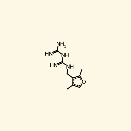 Cc1coc(C)c1CNC(=N)NC(=N)N